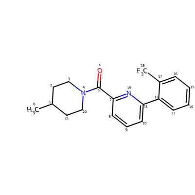 CC1CCN(C(=O)c2cccc(-c3ccccc3C(F)(F)F)n2)CC1